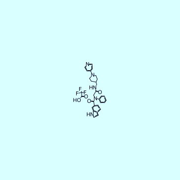 O=C(CN(C(=O)c1ccc2cc[nH]c2c1)c1ccccc1)NCC1CCN(c2ccncc2)CC1.O=C(O)C(F)(F)F